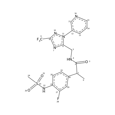 CC(C(=O)NCc1nc(C(F)(F)F)nn1-c1cccnc1)c1ccc(NS(C)(=O)=O)c(F)c1